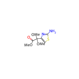 COC(=O)C(OC)(OC)c1csc(N)n1